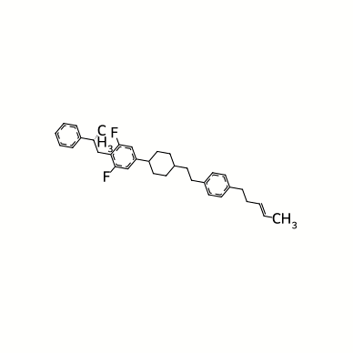 C/C=C/CCc1ccc(CCC2CCC(c3cc(F)c(C[C@@H](C)c4ccccc4)c(F)c3)CC2)cc1